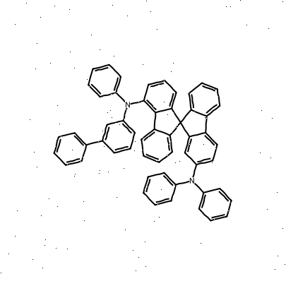 c1ccc(-c2cccc(N(c3ccccc3)c3cccc4c3-c3ccccc3C43c4ccccc4-c4ccc(N(c5ccccc5)c5ccccc5)cc43)c2)cc1